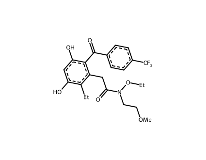 CCON(CCOC)C(=O)Cc1c(CC)c(O)cc(O)c1C(=O)c1ccc(C(F)(F)F)cc1